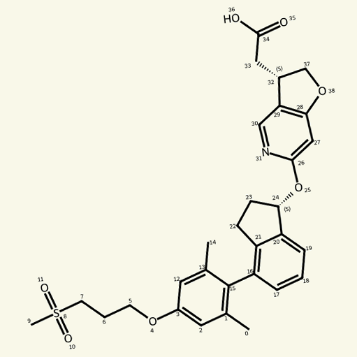 Cc1cc(OCCCS(C)(=O)=O)cc(C)c1-c1cccc2c1CC[C@@H]2Oc1cc2c(cn1)[C@H](CC(=O)O)CO2